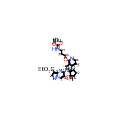 CCOC(=O)c1cnn2cc3c(nc12)N(Cc1cc(F)cnc1OCCCNC(=O)OC(C)(C)C)[C@@H]1CCC[C@@H]1O3